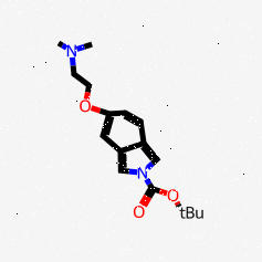 CN(C)CCOc1ccc2cn(C(=O)OC(C)(C)C)cc2c1